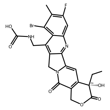 CC[C@@]1(O)C(=O)OCc2c1cc1n(c2=O)Cc2c-1nc1cc(F)c(C)c(Br)c1c2CNC(=O)O